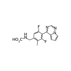 Cc1c(CNC(=O)O)cc(F)c(-c2ncnn3cccc23)c1F